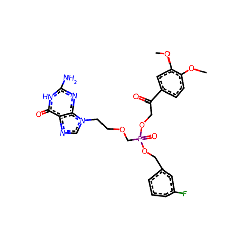 COc1ccc(C(=O)COP(=O)(COCCn2cnc3c(=O)[nH]c(N)nc32)OCc2cccc(F)c2)cc1OC